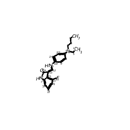 CCCCN(CC)c1ccc(NC=C2C(=O)Nc3cccc(F)c32)cc1